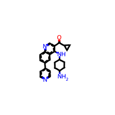 NC1CCC(Nc2c(C(=O)C3CC3)cnc3ccc(-c4ccncc4)cc23)CC1